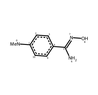 CNc1ccc(/C(N)=N/O)cc1